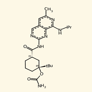 Cc1cc2cnc(NC(=O)[C@H]3CCC[C@](OC(N)=O)(C(C)(C)C)C3)nc2c(NC(C)C)n1